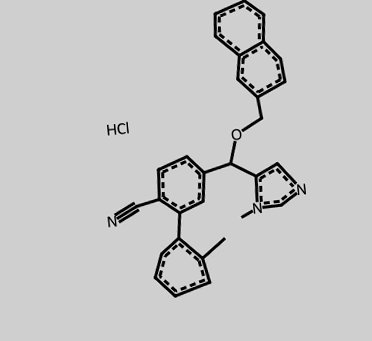 Cc1ccccc1-c1cc(C(OCc2ccc3ccccc3c2)c2cncn2C)ccc1C#N.Cl